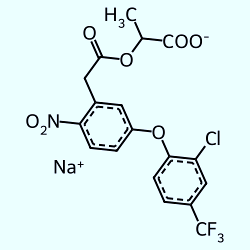 CC(OC(=O)Cc1cc(Oc2ccc(C(F)(F)F)cc2Cl)ccc1[N+](=O)[O-])C(=O)[O-].[Na+]